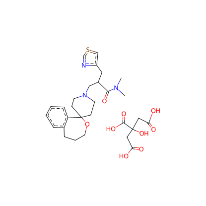 CN(C)C(=O)C(Cc1cscn1)CN1CCC2(CC1)OCCCc1ccccc12.O=C(O)CC(O)(CC(=O)O)C(=O)O